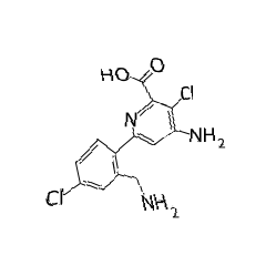 NCc1cc(Cl)ccc1-c1cc(N)c(Cl)c(C(=O)O)n1